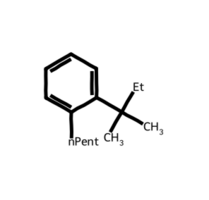 CCCCCc1ccccc1C(C)(C)CC